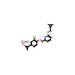 O=COC1CC1c1ccc(OCc2cccc(SCC3CC3)n2)c(Cl)c1